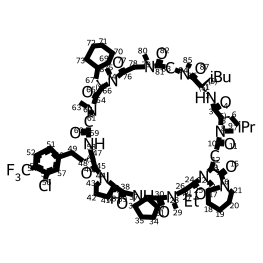 CC[C@H](C)[C@@H]1NC(=O)[C@H](CC(C)C)N(C)C(=O)C[C@@H](C(=O)N2CCCCC2)N(C)C(=O)[C@H](CC)N(C)C(=O)C2(CCCC2)NC(=O)[C@@H]2CCCN2C(=O)[C@H](CCc2ccc(C(F)(F)F)c(Cl)c2)NC(=O)CN(C)C(=O)[C@H](CC2CCCCC2)N(C)C(=O)CN(C)C(=O)CN(C)C1=O